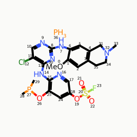 COc1cc2c(cc1Nc1ncc(Cl)c(Nc3ncc(OS(=O)(=O)F)cc3OP(C)C)n1)CN(C)CC2.P